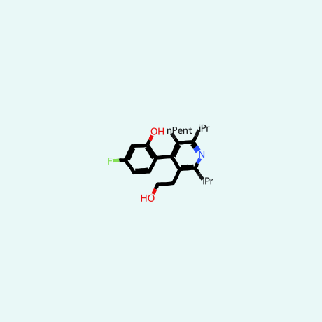 CCCCCc1c(C(C)C)nc(C(C)C)c(CCO)c1-c1ccc(F)cc1O